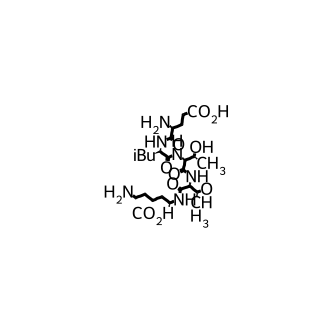 CC[C@H](C)[C@H](NC(=O)[C@@H](N)CCC(=O)O)C(=O)N[C@H](C(=O)N[C@H](C(=O)N[C@@H](CCCCN)C(=O)O)[C@@H](C)O)[C@@H](C)O